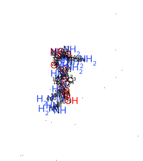 Cc1cccc(CC(NC(=O)[C@@H]2CCCN2C(=O)[C@@H](CCCN)NC(=O)CNC(=O)[C@H](CCCN)NC(=O)[C@@H](NC(=O)[C@@H](N)CCCCN)[C@@H](O)CN)C(=O)N[C@@H](CCCCN)C(=O)N/C(=C\CCNC(=N)N)C(=O)O)c1